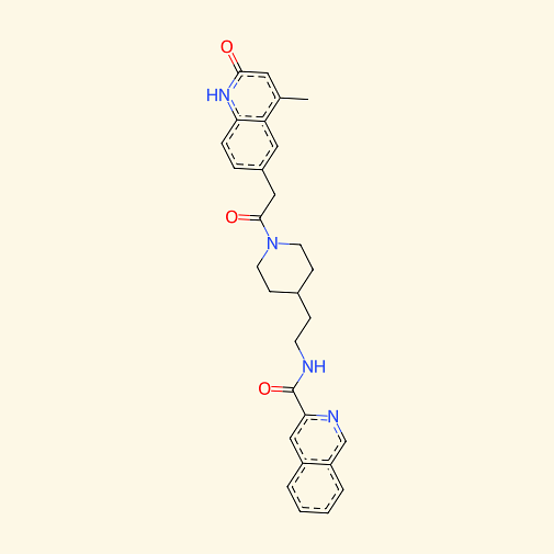 Cc1cc(=O)[nH]c2ccc(CC(=O)N3CCC(CCNC(=O)c4cc5ccccc5cn4)CC3)cc12